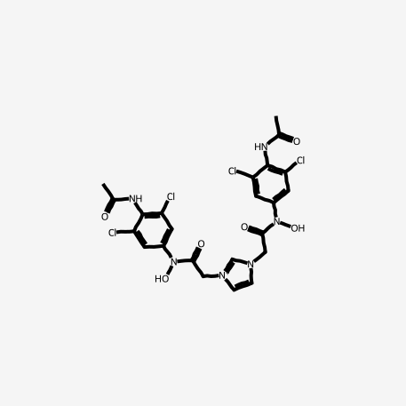 CC(=O)Nc1c(Cl)cc(N(O)C(=O)Cn2cc[n+](CC(=O)N(O)c3cc(Cl)c(NC(C)=O)c(Cl)c3)c2)cc1Cl